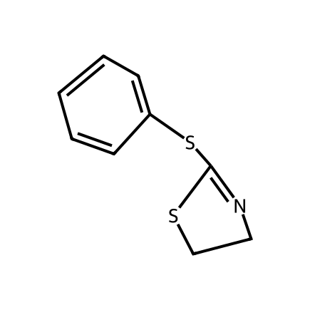 c1ccc(SC2=NCCS2)cc1